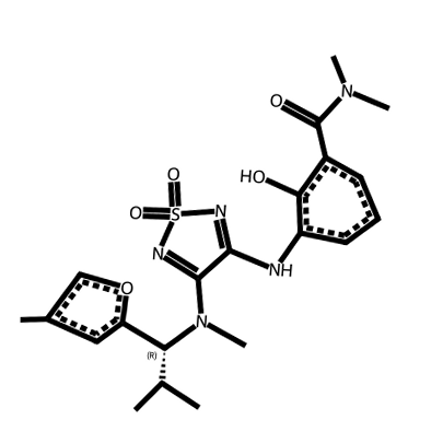 Cc1coc([C@@H](C(C)C)N(C)C2=NS(=O)(=O)N=C2Nc2cccc(C(=O)N(C)C)c2O)c1